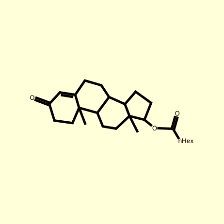 CCCCCCC(=O)OC1CCC2C3CCC4=CC(=O)CCC4(C)C3CCC12C